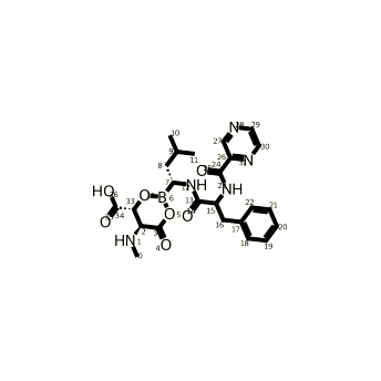 CN[C@@H]1C(=O)OB([C@H](CC(C)C)NC(=O)C(Cc2ccccc2)NC(=O)c2cnccn2)O[C@H]1C(=O)O